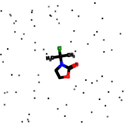 C[Si](C)(Cl)N1CCOC1=O